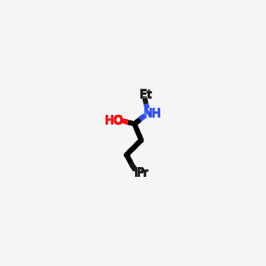 CCNC(O)CCC(C)C